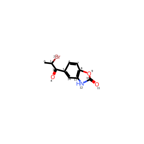 CC(Br)C(=O)c1ccc2oc(=O)[nH]c2c1